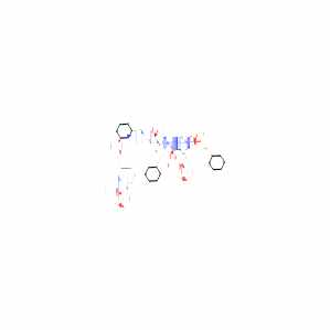 Cc1ccc(OCCC2CCCN(C(=O)OC(C)(C)C)C2)cc1CNC(=O)[C@H](CCc1ccccc1)NC(=O)[C@H](CC(=O)OC(C)(C)C)NC(=O)OCc1ccccc1